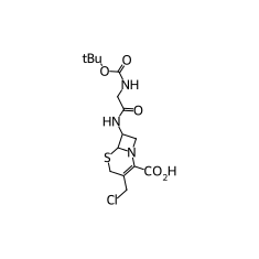 CC(C)(C)OC(=O)NCC(=O)NC1CN2C(C(=O)O)=C(CCl)CSC12